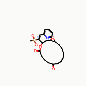 CS(=O)(=O)/C(=C/c1ccccn1)C1CC2OC2CCCCCCC(=O)CCCC(=O)O1